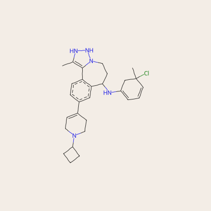 CC1=C2c3ccc(C4=CCN(C5CCC5)CC4)cc3C(NC3=CC=CC(C)(Cl)C3)CCN2NN1